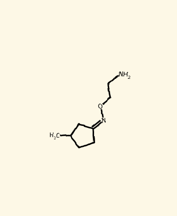 CC1CC/C(=N/OCCN)C1